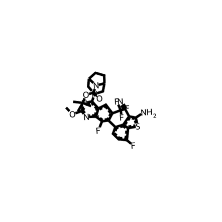 COc1nc(N2CC3CCC(C2)N3C(=O)OC(C)(C)C)c2cc(C(F)(F)F)c(-c3ccc(F)c4sc(N)c(C#N)c34)c(F)c2n1